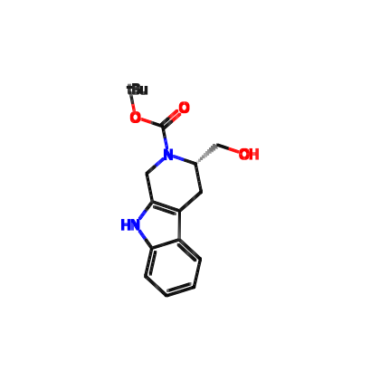 CC(C)(C)OC(=O)N1Cc2[nH]c3ccccc3c2C[C@H]1CO